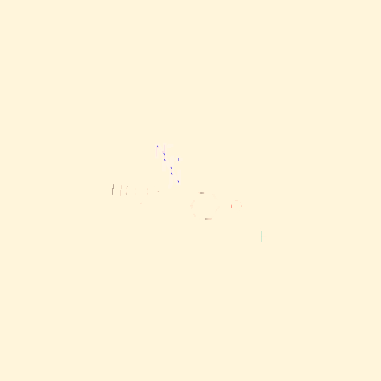 [N-]=[N+]=N[C@@H](Cc1ccc(OCCF)cc1)C(=O)O